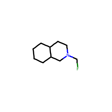 FCN1CCC2CCCCC2C1